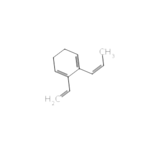 C=CC1=CCCC=C1/C=C\C